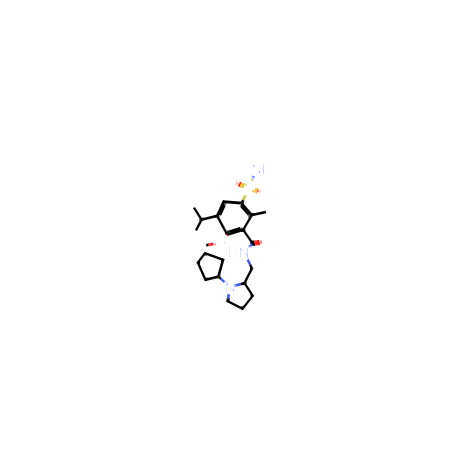 COc1c(C(C)C)cc(S(N)(=O)=O)c(C)c1C(=O)NCC1CCCN1C1CCCC1